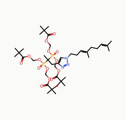 CC(C)=CCC/C(C)=C/CCn1cc(CC(C)(P(=O)(OCOC(=O)C(C)(C)C)OCOC(=O)C(C)(C)C)P(=O)(OCOC(=O)C(C)(C)C)OCOC(=O)C(C)(C)C)nn1